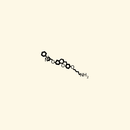 NCCCCCOc1cccc(CC2=CCc3cc(OCc4cnn(-c5ccccc5)c4)ccc3C2=O)c1